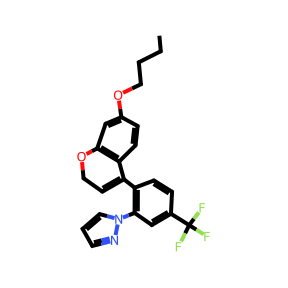 CCCCOc1ccc2c(c1)OCC=C2c1ccc(C(F)(F)F)cc1-n1cccn1